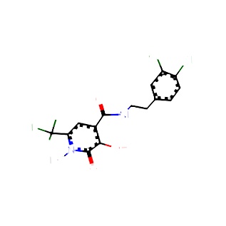 Cn1c(C(F)(F)F)cc(C(=O)NCCc2ccc(Cl)c(Cl)c2)c(O)c1=O